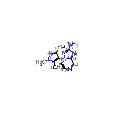 Cc1nn(C)c(C)c1[N+]12C=CN=CC1=NC(N)=N2